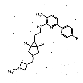 CN1CC(CN2C[C@@H]3C(CCNc4nc(-c5ccc(F)cc5)ccc4N)[C@@H]3C2)C1